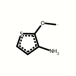 [CH2]Oc1sccc1N